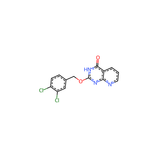 O=c1[nH]c(OCc2ccc(Cl)c(Cl)c2)nc2ncccc12